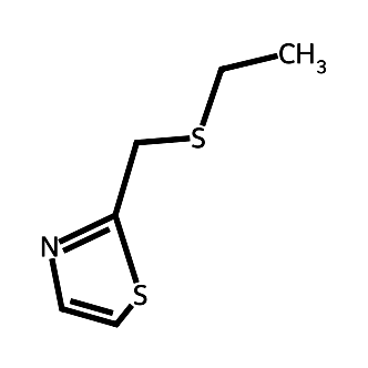 CCSCc1nccs1